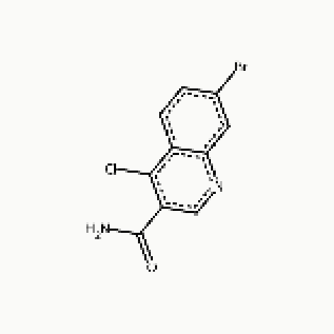 NC(=O)c1cnc2cc(Br)ccc2c1Cl